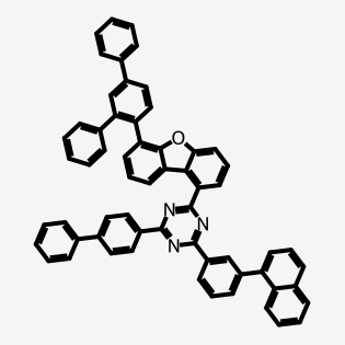 c1ccc(-c2ccc(-c3nc(-c4cccc(-c5cccc6ccccc56)c4)nc(-c4cccc5oc6c(-c7ccc(-c8ccccc8)cc7-c7ccccc7)cccc6c45)n3)cc2)cc1